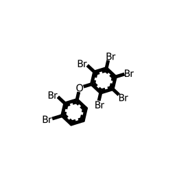 Brc1cccc(Oc2c(Br)c(Br)c(Br)c(Br)c2Br)c1Br